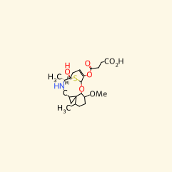 COC1CCC(C)C23CC2CN[C@H](C)[C@]2(O)CC=C(OC(=O)CCC(=O)O)C(OC13)S2